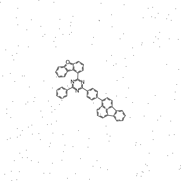 c1ccc(-c2nc(-c3ccc(-c4ccc5c6c(cccc46)-c4ccccc4-5)cc3)nc(-c3cccc4oc5ccccc5c34)n2)cc1